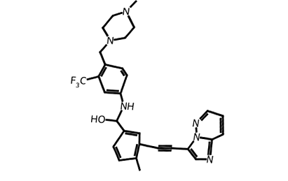 Cc1ccc(C(O)Nc2ccc(CN3CCN(C)CC3)c(C(F)(F)F)c2)cc1C#Cc1cnc2cccnn12